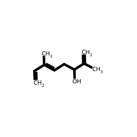 C=CC(C)=CCC(O)C(=C)C